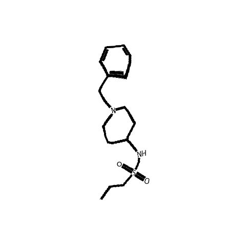 CCCS(=O)(=O)NC1CCN(Cc2ccccc2)CC1